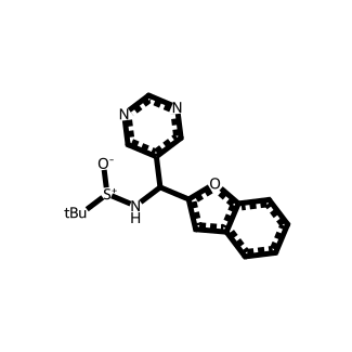 CC(C)(C)[S+]([O-])NC(c1cncnc1)c1cc2ccccc2o1